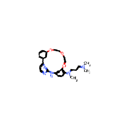 CN(C)CCCN(C)c1ccc2cc1OCCOCCOc1cccc(c1)-c1ccnc(n1)N2